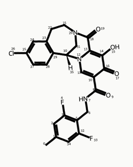 Cc1cc(F)c(CNC(=O)c2cn3c(c(O)c2=O)C(=O)N2CCc4cc(Cl)ccc4[C@@H]3C2)c(F)c1